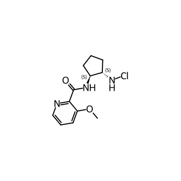 COc1cccnc1C(=O)N[C@H]1CCC[C@@H]1NCl